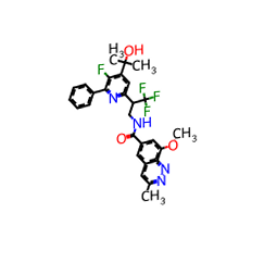 COc1cc(C(=O)NCC(c2cc(C(C)(C)O)c(F)c(-c3ccccc3)n2)C(F)(F)F)cc2cc(C)nnc12